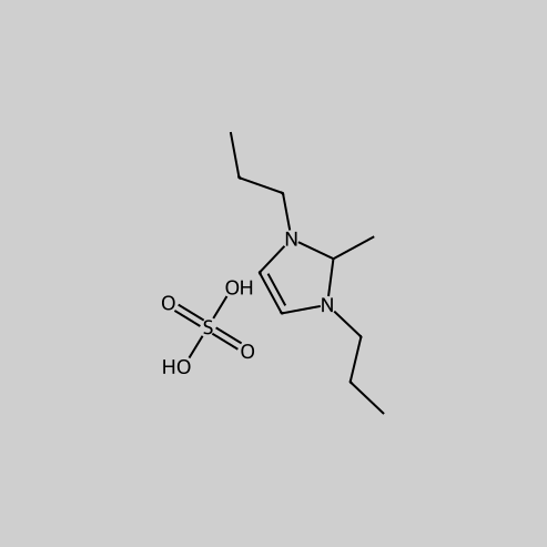 CCCN1C=CN(CCC)C1C.O=S(=O)(O)O